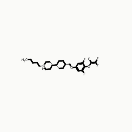 CCCCC[Si@H]1CC[C@H]([C@H]2CC[C@H](COc3cc(F)c(OC(F)=C(F)F)c(F)c3)CC2)CC1